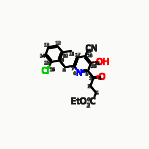 CCOC(=O)CCC(=O)c1nc(Cc2c(C)cccc2Cl)cc(C#N)c1O